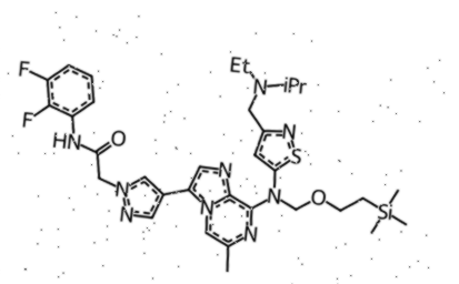 CCN(Cc1cc(N(COCC[Si](C)(C)C)c2nc(C)cn3c(-c4cnn(CC(=O)Nc5cccc(F)c5F)c4)cnc23)sn1)C(C)C